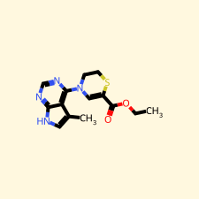 CCOC(=O)C1=CN(c2ncnc3[nH]cc(C)c23)CCS1